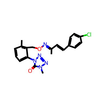 CC(/C=C/c1ccc(Cl)cc1)=N\OCc1c(C)cccc1-n1nnn(C)c1=O